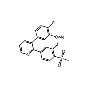 COc1cc(-c2cccnc2-c2ccc(S(C)(=O)=O)c(F)c2)ccc1Cl